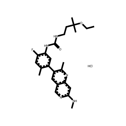 CCOC(C)(C)CCNC(=O)Nc1cc(-c2cc3cnc(NC)cc3nc2C)c(C)cc1F.Cl